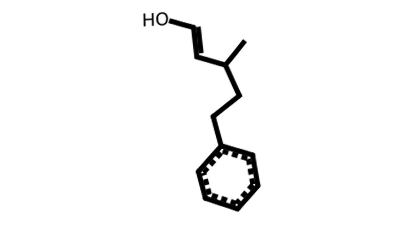 CC(C=CO)CCc1ccccc1